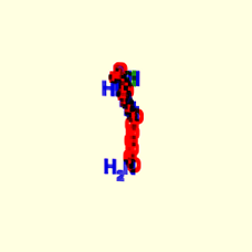 COc1cc(N2CCC(N3CCN(C(=O)CCOCCOCCOCCOCCOCCC(N)=O)CC3)CC2)ccc1Nc1ncc(Cl)c(Nc2ccccc2P(C)(C)=O)n1